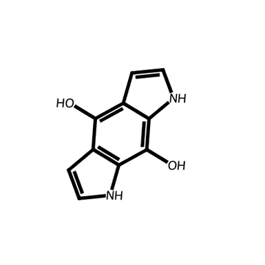 Oc1c2cc[nH]c2c(O)c2[nH]ccc12